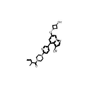 C=CC(C)C(=O)N1CCN(c2ccc(-c3cc(O[C@H]4C[C@H](O)C4)cn4ncc(C#N)c34)cn2)CC1